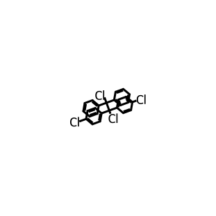 Clc1ccc(C(Cl)(c2ccc(Cl)cc2)C(Cl)(c2ccccc2)c2ccccc2)cc1